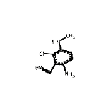 CNc1ccc(N)c(C=N)c1Cl